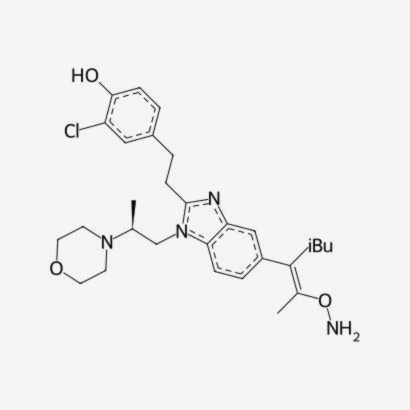 CCC(C)/C(=C(/C)ON)c1ccc2c(c1)nc(CCc1ccc(O)c(Cl)c1)n2C[C@H](C)N1CCOCC1